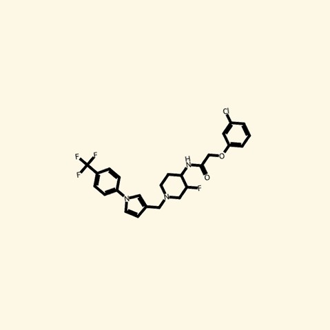 O=C(COc1cccc(Cl)c1)NC1CCN(Cc2ccn(-c3ccc(C(F)(F)F)cc3)c2)CC1F